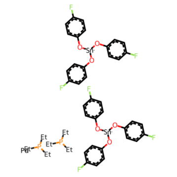 CCP(CC)CC.CCP(CC)CC.Fc1ccc([O][Sn]([O]c2ccc(F)cc2)[O]c2ccc(F)cc2)cc1.Fc1ccc([O][Sn]([O]c2ccc(F)cc2)[O]c2ccc(F)cc2)cc1.[Pd]